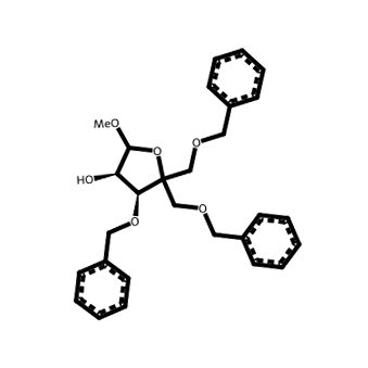 COC1OC(COCc2ccccc2)(COCc2ccccc2)[C@@H](OCc2ccccc2)[C@H]1O